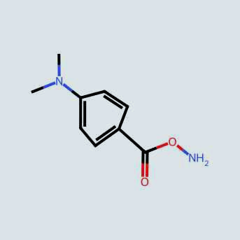 CN(C)c1ccc(C(=O)ON)cc1